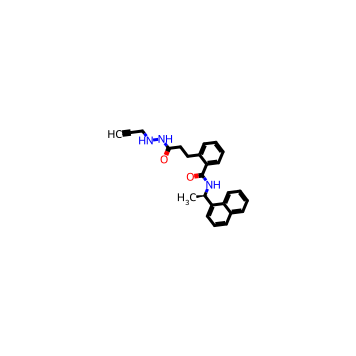 C#CCNNC(=O)CCc1ccccc1C(=O)N[C@H](C)c1cccc2ccccc12